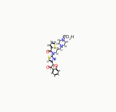 O=C1c2ccccc2OC1c1csc(N(CCCN2CCN(C(=O)O)CC2)C(=O)c2cccs2)n1